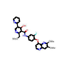 COCc1ncc(-c2ccccn2)c(O)c1C(=O)Nc1ccc(Oc2ccnc3cc(OC)c(OC)nc23)c(F)c1